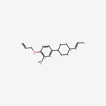 C=CCOc1ccc(C2CCC(/C=C/C)CC2)cc1CCC